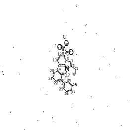 CCc1cc2c(C(=O)C(=O)OC)cccc2n1Cc1ccccc1-c1ccccc1